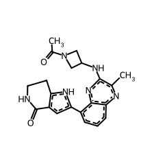 CC(=O)N1CC(Nc2nc3c(-c4cc5c([nH]4)CCNC5=O)cccc3nc2C)C1